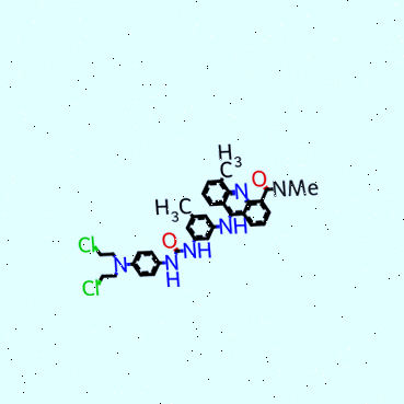 CNC(=O)c1cccc2c(Nc3cc(C)cc(NC(=O)Nc4ccc(N(CCCl)CCCl)cc4)c3)c3cccc(C)c3nc12